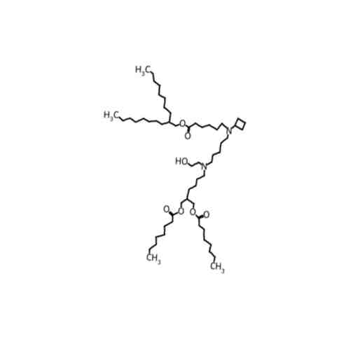 CCCCCCCCC(CCCCCCCC)COC(=O)CCCCCN(CCCCCN(CCO)CCCCC(COC(=O)CCCCCCC)COC(=O)CCCCCCC)C1CCC1